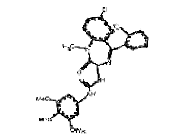 COc1cc(NC(=S)NC2N=C(c3ccccc3Cl)c3cc(Cl)ccc3N(C)C2=O)cc(OC)c1OC